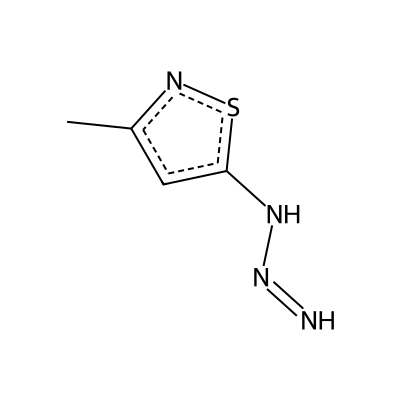 Cc1cc(NN=N)sn1